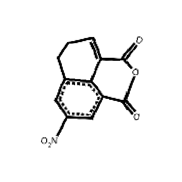 O=C1OC(=O)c2cc([N+](=O)[O-])cc3c2C1=CCC3